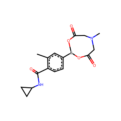 Cc1cc(B2OC(=O)CN(C)CC(=O)O2)ccc1C(=O)NC1CC1